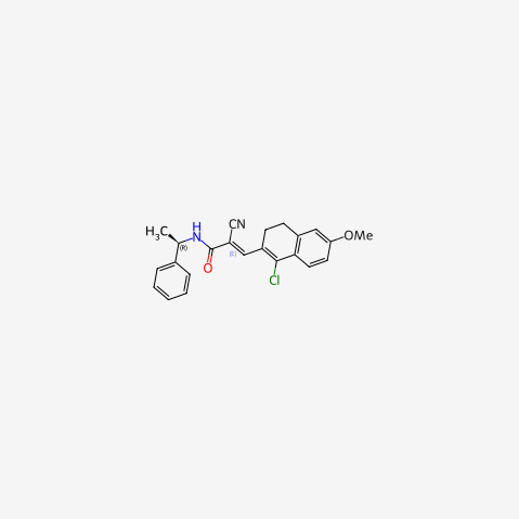 COc1ccc2c(c1)CCC(/C=C(\C#N)C(=O)N[C@H](C)c1ccccc1)=C2Cl